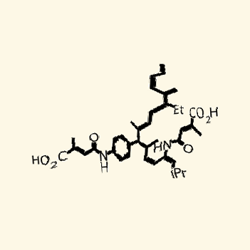 C=C/C=C\C(=C)/C(=C/C=C(\C)C(c1ccc(NC(=O)/C=C(\C)C(=O)O)cc1)C(C)/C=C\C(=C/C(C)C)NC(=O)/C=C(\C)C(=O)O)CC